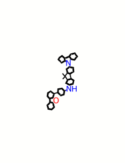 CC1(C)c2cc(Nc3ccc(-c4cccc5c4oc4ccccc45)cc3)ccc2-c2ccc(-n3c4ccccc4c4ccccc43)cc21